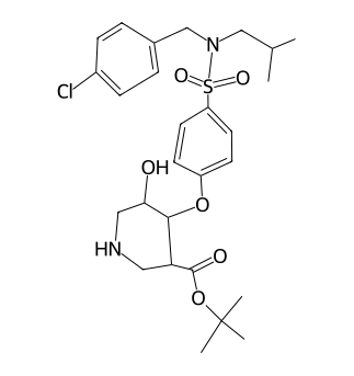 CC(C)CN(Cc1ccc(Cl)cc1)S(=O)(=O)c1ccc(OC2C(O)CNCC2C(=O)OC(C)(C)C)cc1